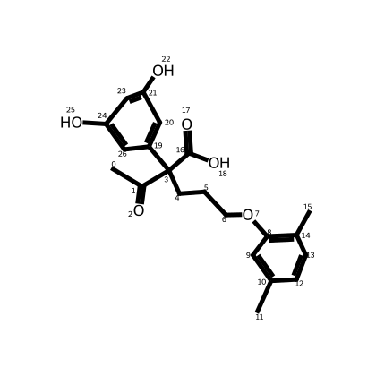 CC(=O)C(CCCOc1cc(C)ccc1C)(C(=O)O)c1cc(O)cc(O)c1